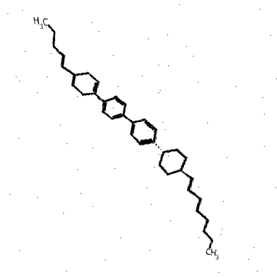 CCCCCCCC[C@H]1CC[C@H](c2ccc(-c3ccc(C4=CCC(CCCCC)CC4)cc3)cc2)CC1